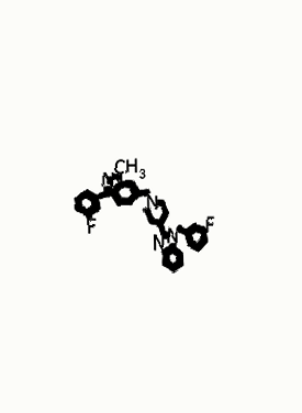 Cn1nc(-c2cccc(F)c2)c2ccc(CN3CCC(c4nc5ccccc5n4Cc4cccc(F)c4)CC3)cc21